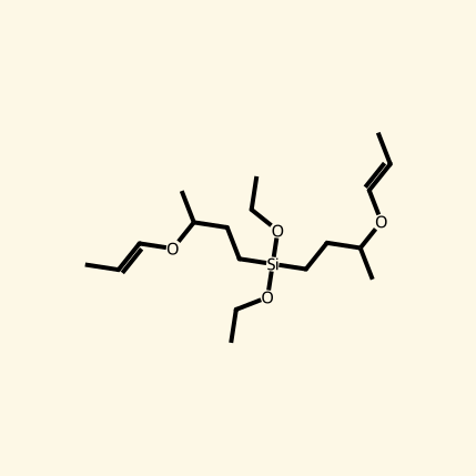 CC=COC(C)CC[Si](CCC(C)OC=CC)(OCC)OCC